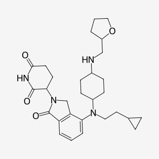 O=C1CCC(N2Cc3c(cccc3N(CCC3CC3)C3CCC(NCC4CCCO4)CC3)C2=O)C(=O)N1